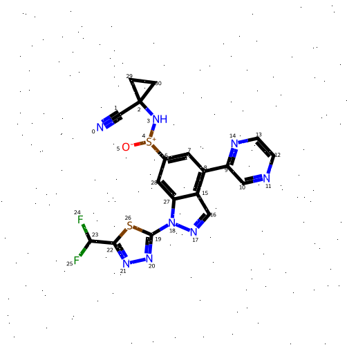 N#CC1(N[S+]([O-])c2cc(-c3cnccn3)c3cnn(-c4nnc(C(F)F)s4)c3c2)CC1